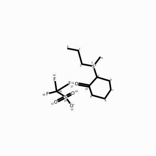 CCC[S+](C)C1CCCCC1=O.O=S(=O)([O-])C(F)(F)F